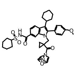 COc1ccc(-c2c(C3CCCCC3)c3ccc(C(=O)NS(=O)(=O)C4CCCCC4)cc3n2CC2(C(=O)N3C=c4oc(n4C)=C3)CC2)cc1